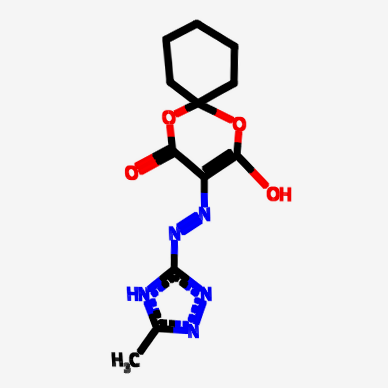 Cc1nnc(N=NC2=C(O)OC3(CCCCC3)OC2=O)[nH]1